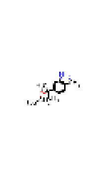 Cc1ccc(C(C)(C)O[SiH2]C(C)(C)C)cc1N